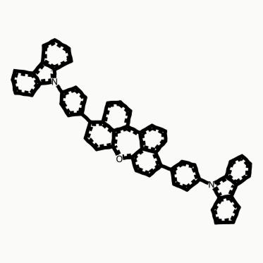 c1cc2c(-c3ccc(-n4c5ccccc5c5ccccc54)cc3)ccc3oc4ccc(-c5ccc(-n6c7ccccc7c7ccccc76)cc5)c5cccc(c(c1)c32)c45